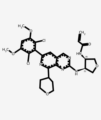 C=CC(=O)N[C@H]1COC[C@H]1Nc1ncc2cc(-c3c(Cl)c(OC)cc(OC)c3Cl)nc(C3CCOCC3)c2n1